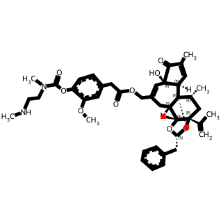 C=C(C)[C@]12C[C@@H](C)[C@@]34O[C@](Cc5ccccc5)(O[C@@H]1[C@@H]3CC(COC(=O)Cc1ccc(OC(=O)N(C)CCNC)c(OC)c1)=C[C@]1(O)C(=O)C(C)=C[C@@H]41)O2